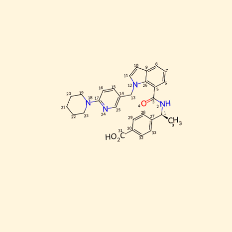 C[C@H](NC(=O)c1cccc2ccn(Cc3ccc(N4CCCCC4)nc3)c12)c1ccc(C(=O)O)cc1